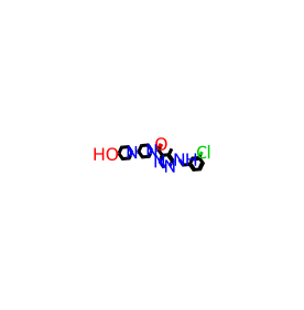 Cc1c(NCc2cccc(Cl)c2)ncnc1C(=O)N1CCC(N2CCC(O)CC2)CC1